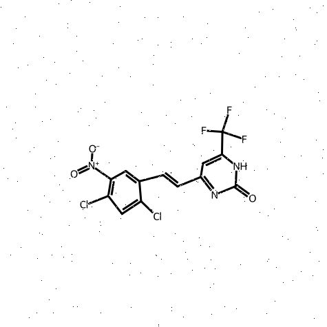 O=c1nc(C=Cc2cc([N+](=O)[O-])c(Cl)cc2Cl)cc(C(F)(F)F)[nH]1